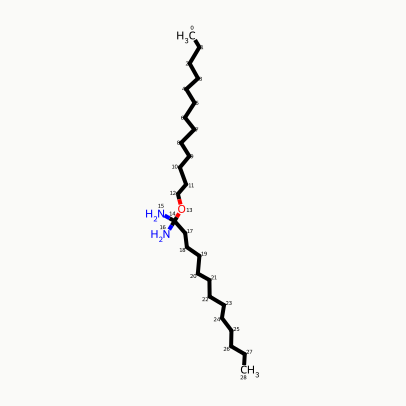 CCCCCCCCCCCCCOC(N)(N)CCCCCCCCCCCC